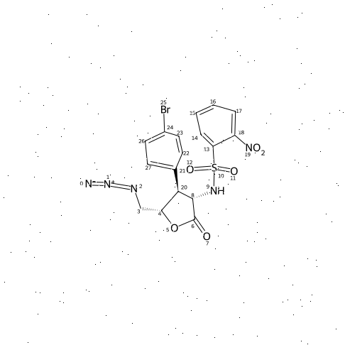 [N-]=[N+]=NC[C@H]1OC(=O)[C@@H](NS(=O)(=O)c2ccccc2[N+](=O)[O-])[C@@H]1c1ccc(Br)cc1